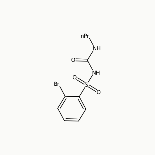 CCCNC(=O)NS(=O)(=O)c1ccccc1Br